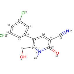 Cn1c(CO)c(-c2cc(Cl)cc(Cl)c2)cc(C#N)c1=O